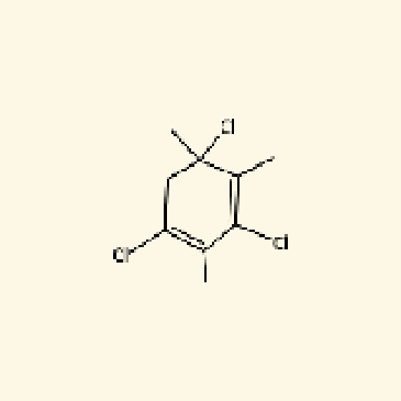 CC1=C(Cl)CC(C)(Cl)C(C)=C1Cl